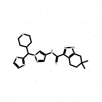 CC1(C)CCc2c(C(=O)Nc3cnn(C(c4nccs4)C4CCSCC4)c3)n[nH]c2C1